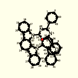 c1ccc(-c2nc(-c3ccccc3)nc(-n3c4ccccc4c4ccc5c6ccccc6n(-c6cccc7oc8ccccc8c67)c5c43)n2)cc1